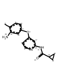 Cc1ccc(Oc2ccnc(NC(=O)C3CC3)c2)cc1N